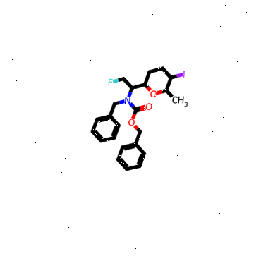 CC1OC(C(CF)N(Cc2ccccc2)C(=O)OCc2ccccc2)CCC1I